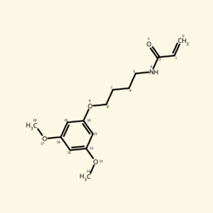 C=CC(=O)NCCCCOc1cc(OC)cc(OC)c1